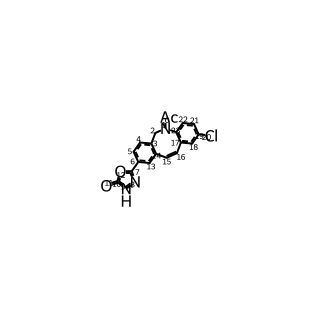 CC(=O)N1Cc2ccc(-c3n[nH]c(=O)o3)cc2C=Cc2cc(Cl)ccc21